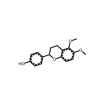 COc1ccc2c(c1OC)CCC(c1ccc(O)cc1)O2